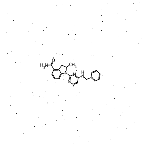 CC1Cc2c(C(N)=O)cccc2N1c1nncc(NCc2ccccc2)n1